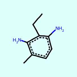 CCc1c(N)ccc(C)c1N